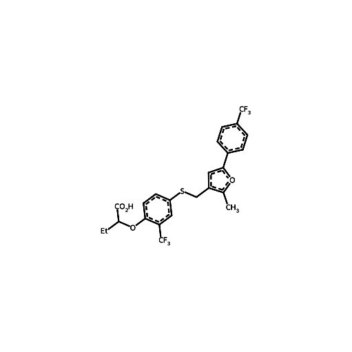 CCC(Oc1ccc(SCc2cc(-c3ccc(C(F)(F)F)cc3)oc2C)cc1C(F)(F)F)C(=O)O